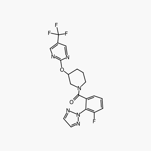 O=C(c1cccc(F)c1-n1nccn1)N1CCCC(Oc2ncc(C(F)(F)F)cn2)C1